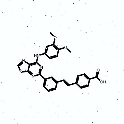 COc1ccc(Nc2nc(-c3cccc(C=Cc4ccc(C(=O)O)cc4)c3)nc3scnc23)cc1OC